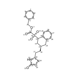 O=C(OCc1ccccc1)S(=O)(=O)C1C[C@H](CCc2noc(=O)[nH]2)Cc2ccccc21